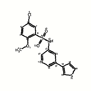 COc1ccc(Cl)cc1S(=O)(=O)Nc1cncc(-c2ccsc2)c1